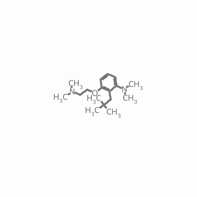 CN(C)CCOc1cccc(N(C)C)c1CC(C)(C)C